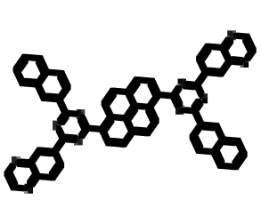 c1ccc2cc(-c3nc(-c4ccc5nccnc5c4)nc(-c4ccc5ccc6c(-c7nc(-c8ccc9ccccc9c8)nc(-c8ccc9nccnc9c8)n7)ccc7ccc4c5c76)n3)ccc2c1